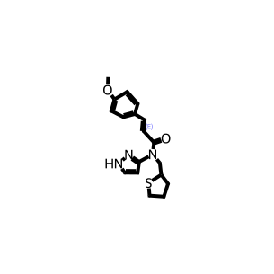 COc1ccc(/C=C/C(=O)N(CC2CCCS2)c2cc[nH]n2)cc1